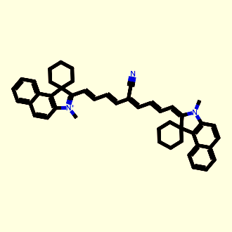 CN1/C(=C/C=C/C=C(C#N)/C=C/C=C/C2=[N+](C)c3ccc4ccccc4c3C23CCCCC3)C2(CCCCC2)c2c1ccc1ccccc21